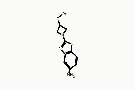 CC(C)OC1CN(c2nc3cc(N)ccc3s2)C1